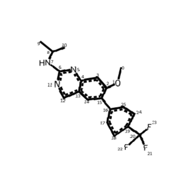 COc1cc2nc(NC(C)C)ncc2cc1-c1ccc(C(F)(F)F)cc1